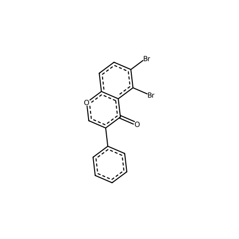 O=c1c(-c2ccccc2)coc2ccc(Br)c(Br)c12